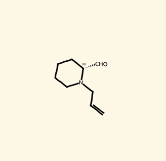 C=CCN1CCCC[C@@H]1C=O